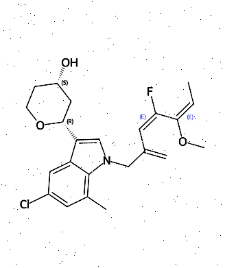 C=C(/C=C(F)\C(=C/C)OC)Cn1cc([C@H]2C[C@@H](O)CCO2)c2cc(Cl)cc(C)c21